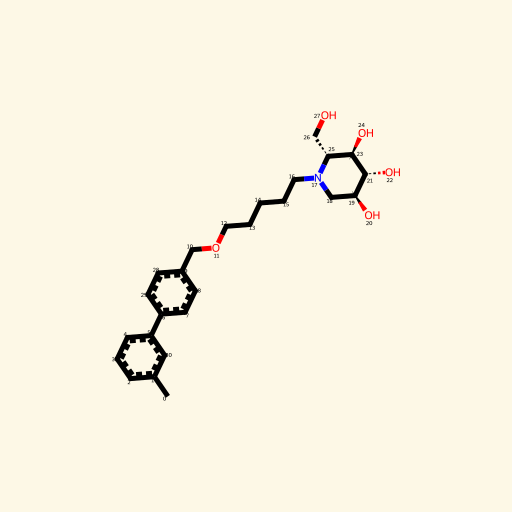 Cc1cccc(-c2ccc(COCCCCCN3C[C@H](O)[C@@H](O)[C@H](O)[C@H]3CO)cc2)c1